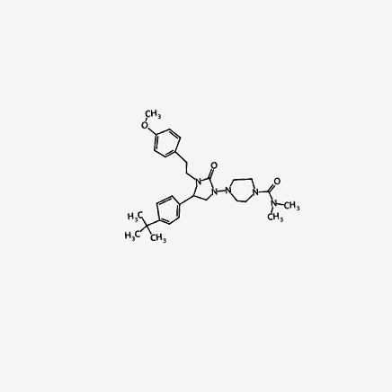 COc1ccc(CCN2C(=O)N(N3CCN(C(=O)N(C)C)CC3)CC2c2ccc(C(C)(C)C)cc2)cc1